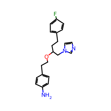 Nc1ccc(CCOC(CCc2ccc(F)cc2)Cn2ccnc2)cc1